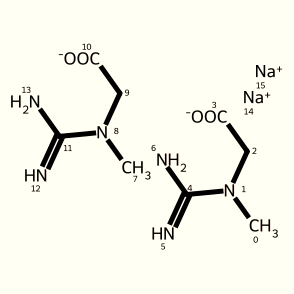 CN(CC(=O)[O-])C(=N)N.CN(CC(=O)[O-])C(=N)N.[Na+].[Na+]